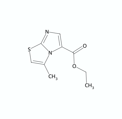 CCOC(=O)c1cnc2scc(C)n12